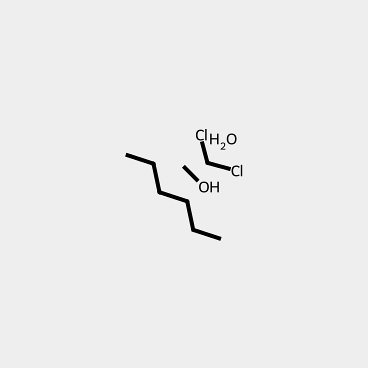 CCCCCC.CO.ClCCl.O